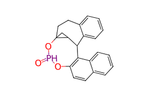 O=[PH]1Oc2ccc3ccccc3c2C2c3ccccc3CCC3(CC23)O1